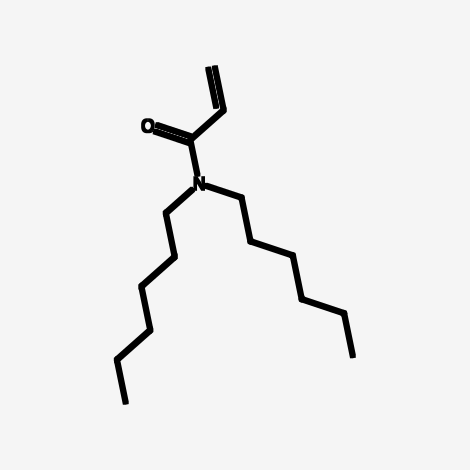 C=CC(=O)N(CCCCCC)CCCCCC